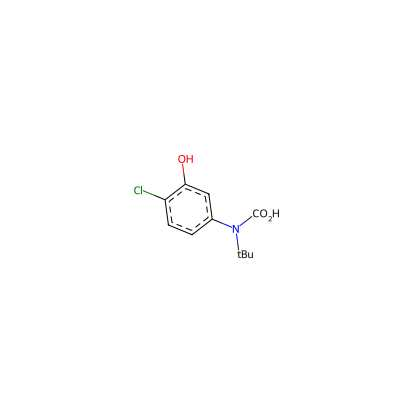 CC(C)(C)N(C(=O)O)c1ccc(Cl)c(O)c1